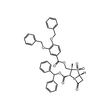 C[C@]1(COC(=O)c2ccc(OCc3ccccc3)c(OCc3ccccc3)c2)[C@H](C(=O)OC(c2ccccc2)c2ccccc2)N2C(=O)C[C@H]2S1(=O)=O